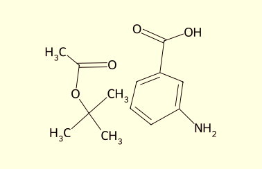 CC(=O)OC(C)(C)C.Nc1cccc(C(=O)O)c1